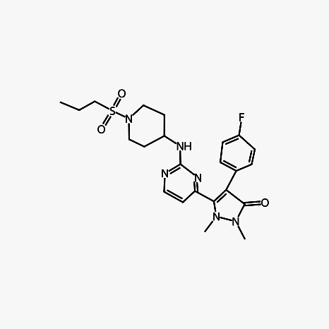 CCCS(=O)(=O)N1CCC(Nc2nccc(-c3c(-c4ccc(F)cc4)c(=O)n(C)n3C)n2)CC1